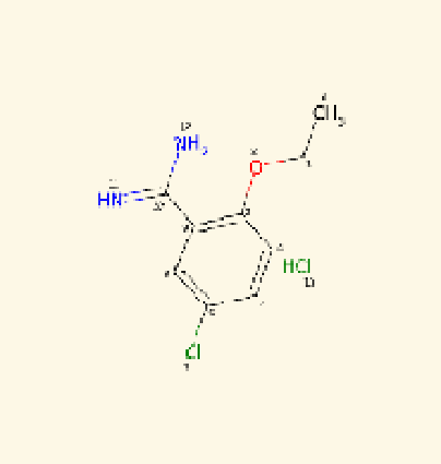 CCOc1ccc(Cl)cc1C(=N)N.Cl